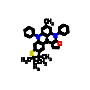 Cc1cc2c3c(c1)N(c1ccccc1)c1occc1B3c1cc3c(cc1N2c1ccccc1)SC(C)(C)C3(C)C